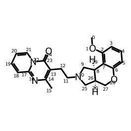 COc1cccc2c1[C@@H]1CN(CCc3c(C)nc4ccccn4c3=O)C[C@@H]1CO2